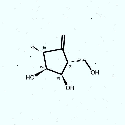 C=C1[C@@H](C)[C@H](O)[C@H](O)[C@H]1CO